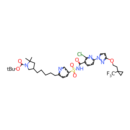 CC(C)(C)OC(=O)N1CC(CCCCCc2ccc(S(=O)(=O)NC(=O)c3ccc(-n4ccc(OCCC5(C(F)(F)F)CC5)n4)nc3Cl)cn2)CC1(C)C